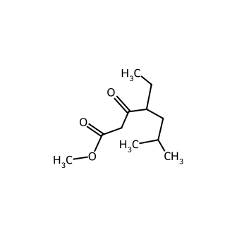 CCC(CC(C)C)C(=O)CC(=O)OC